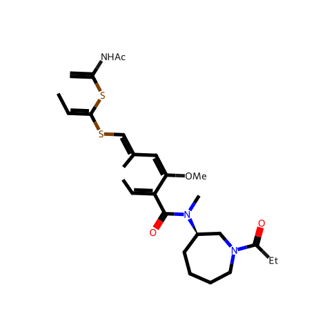 C=C(NC(C)=O)S/C(=C\C)S/C=C(C)/C=C(OC)\C(=C/C)C(=O)N(C)[C@@H]1CCCCN(C(=O)CC)C1